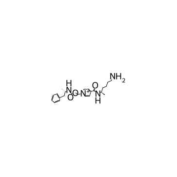 C[C@H](CCCCN)NC(=O)c1cc[n+](COC(=O)N[C@@H](C)Cc2ccccc2)cc1